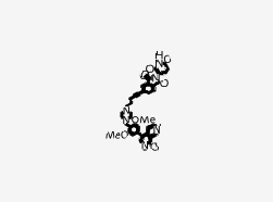 COc1cc(-c2cn(C)c(=O)c3cnccc23)cc(OC)c1CN1CCN(CCCC#Cc2ccc3c(c2)C(=O)N(C2CCC(=O)NC2=O)C3=O)CC1